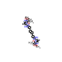 COC(=O)N[C@H](C(=O)N1C(c2nc3ccc(-c4ccc5cc(-c6ccc7nc([C@@H]8C[C@H]9C[C@H]9N8C(=O)[C@@H](NC(=O)OC)C(C)C)[nH]c7c6)ccc5c4)cc3[nH]2)C[C@H]2C[C@H]21)C(C)C